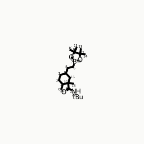 CC1CCC(CCB2OC(C)(C)C(C)(C)O2)CC1(C)C(=O)NC(C)(C)C